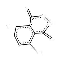 Nc1cccc2c(=O)[nH][nH]c(=O)c12.[Na]